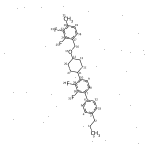 CCCc1ccc(-c2ccc(C3CCC(OCc4ccc(C)c(F)c4F)CC3)c(F)c2F)cc1